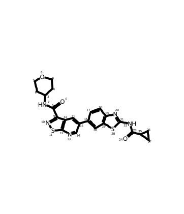 O=C(NC1CCOCC1)c1nsc2ncc(-c3ccc4nc(NC(=O)C5CC5)sc4c3)cc12